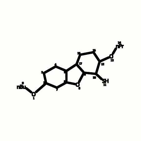 CCCCOC1CCC2C(C1)OC1C(S)C(OCCC)CCC21